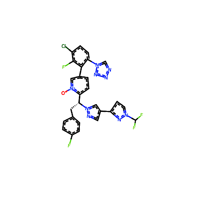 [O-][n+]1cc(-c2c(-n3cnnn3)ccc(Cl)c2F)ccc1[C@@H](Cc1ccc(F)cc1)n1cc(-c2ccn(C(F)F)n2)cn1